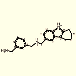 NCc1cccc(CNCc2ccc3[nH]c4c(c3c2)CCCC4)c1